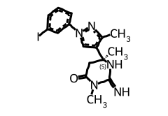 Cc1nn(-c2cccc(I)c2)cc1[C@]1(C)CC(=O)N(C)C(=N)N1